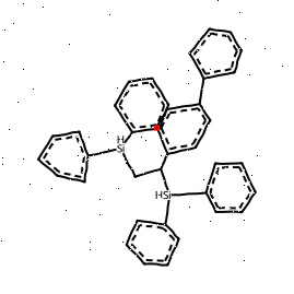 c1ccc(-c2ccc(C(C[SiH](c3ccccc3)c3ccccc3)[SiH](c3ccccc3)c3ccccc3)cc2)cc1